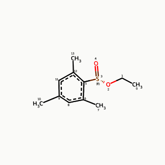 CCO[S@@](=O)c1c(C)cc(C)cc1C